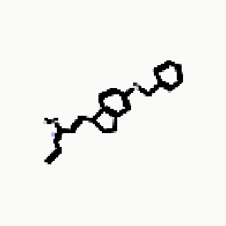 C=C/C=C(\C=CC1CCc2cc(OCc3ccccc3)ccc21)OC(C)=O